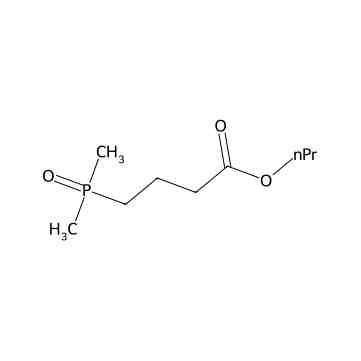 CCCOC(=O)CCCP(C)(C)=O